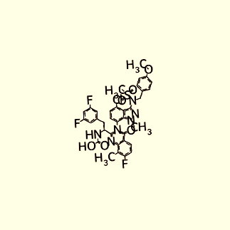 COc1ccc(CN(c2nn(C)c3c(-n4c([C@H](Cc5cc(F)cc(F)c5)NC(=O)O)nc5c(C)c(F)ccc5c4=O)ccc(Cl)c23)S(C)(=O)=O)cc1